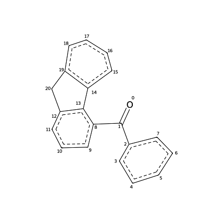 O=C(c1ccccc1)c1cccc2c1-c1ccccc1C2